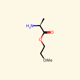 COCCOC(=O)[C@H](C)N